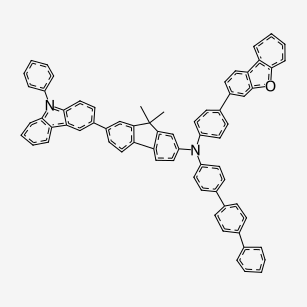 CC1(C)c2cc(-c3ccc4c(c3)c3ccccc3n4-c3ccccc3)ccc2-c2ccc(N(c3ccc(-c4ccc(-c5ccccc5)cc4)cc3)c3ccc(-c4ccc5c(c4)oc4ccccc45)cc3)cc21